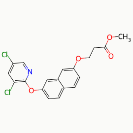 COC(=O)CCOc1ccc2ccc(Oc3ncc(Cl)cc3Cl)cc2c1